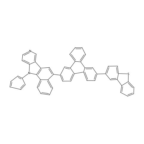 c1ccc(-n2c3ccncc3c3cc(-c4ccc5c6ccc(-c7ccc8sc9ccccc9c8c7)cc6c6ccccc6c5c4)c4ccccc4c32)cc1